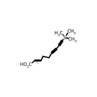 C[Si](C)(C)C#CC#CCC/C=C/C(=O)O